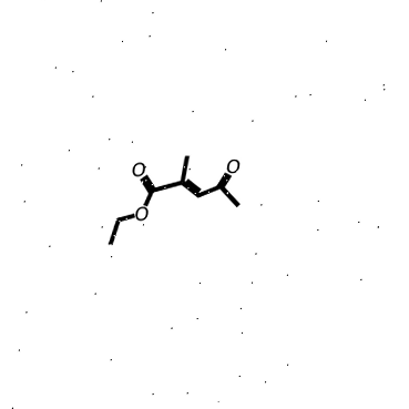 CCOC(=O)C(C)=CC(C)=O